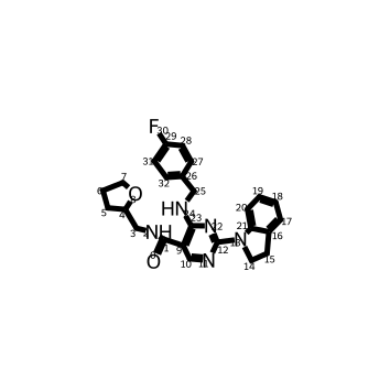 O=C(NCC1CCCO1)c1cnc(N2CCc3ccccc32)nc1NCc1ccc(F)cc1